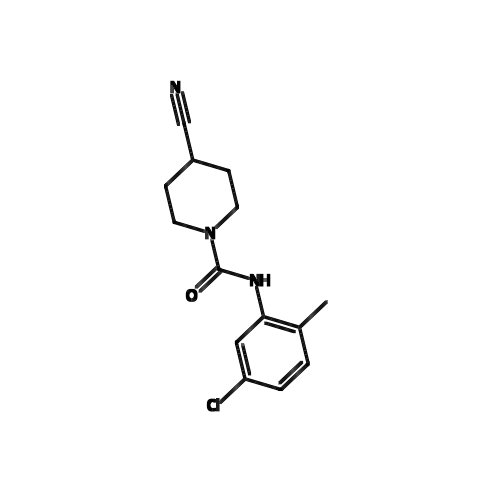 Cc1ccc(Cl)cc1NC(=O)N1CCC(C#N)CC1